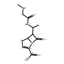 CNCC(=O)NC(C)C1C(=O)N2C(C(=O)O)=CCC12